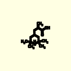 C=C(CC1CC(C)(C)NC(C)(C)C1)C(=O)O